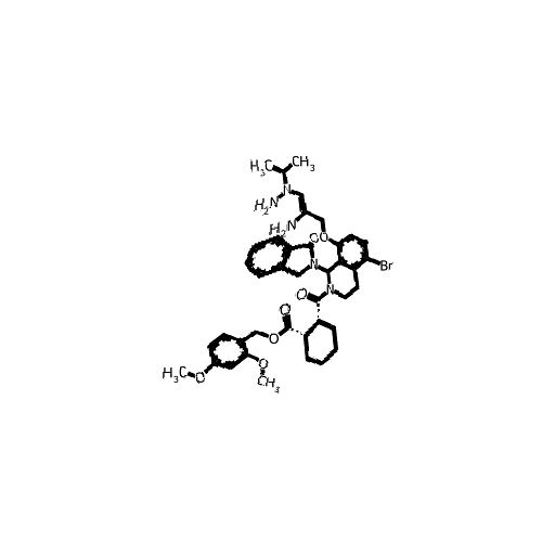 COc1ccc(COC(=O)[C@H]2CCCC[C@H]2C(=O)N2CCc3c(Br)ccc(OC/C(N)=C/N(N)C(C)C)c3C2N2Cc3ccccc3C2=O)c(OC)c1